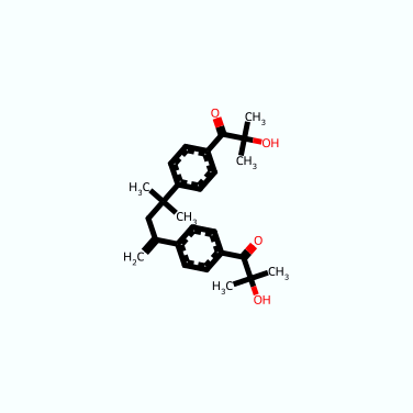 C=C(CC(C)(C)c1ccc(C(=O)C(C)(C)O)cc1)c1ccc(C(=O)C(C)(C)O)cc1